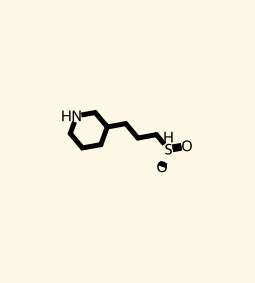 O=[SH](=O)CCC[C]1CCCNC1